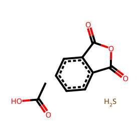 CC(=O)O.O=C1OC(=O)c2ccccc21.S